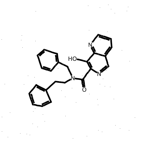 O=C(c1ncc2cccnc2c1O)N(CCc1ccccc1)Cc1ccccc1